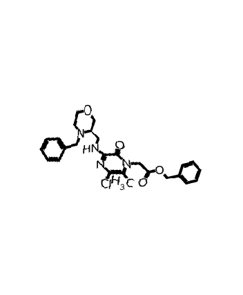 Cc1c(Cl)nc(NC[C@@H]2COCCN2Cc2ccccc2)c(=O)n1CC(=O)OCc1ccccc1